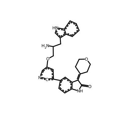 NC(COc1cncc(-c2ccc3c(c2)C(=C2CCOCC2)C(=O)N3)c1)Cc1c[nH]c2ccccc12